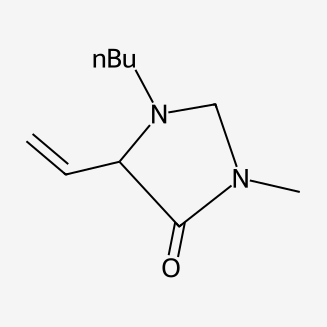 C=CC1C(=O)N(C)CN1CCCC